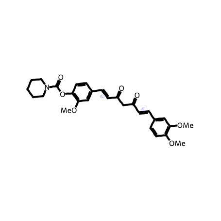 COc1ccc(/C=C/C(=O)CC(=O)/C=C/c2ccc(OC(=O)N3CCCCC3)c(OC)c2)cc1OC